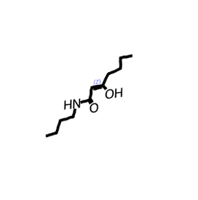 CCCCNC(=O)/C=C(\O)CCCC